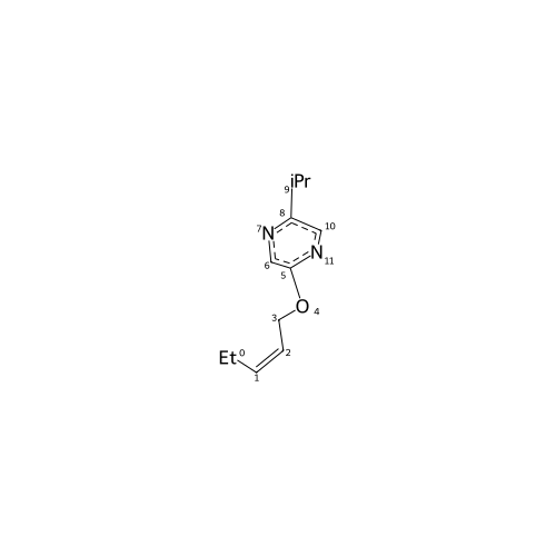 CC/C=C\COc1cnc(C(C)C)cn1